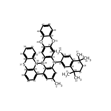 Cc1cc2c3c(c1)N(c1cc4c(cc1C)C(C)(C)CCC4(C)C)c1cc4c(cc1B3N1c3ccccc3Sc3cccc-2c31)Oc1ccccc1O4